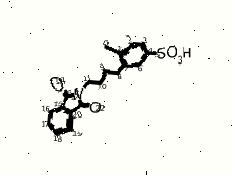 Cc1ccc(S(=O)(=O)O)cc1CCCCN1C(=O)c2ccccc2C1=O